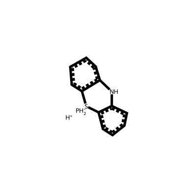 [H+].[PH2-].c1ccc2c(c1)Nc1ccccc1S2